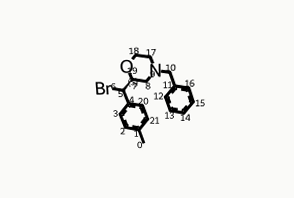 Cc1ccc(C(Br)[C@@H]2CN(Cc3ccccc3)CCO2)cc1